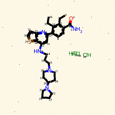 CCc1c(C(N)=O)ccc(-c2cc(NCCCN3CCC(N4CCCC4)CC3)c3sccc3n2)c1CC.Cl.Cl.Cl